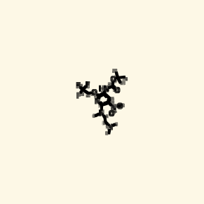 CN(C)CCN(C)c1nc(OCC(F)(F)F)c(NC(=O)OC(C)(C)C)cc1[N+](=O)[O-]